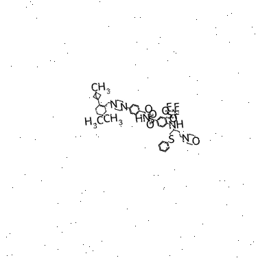 CC1(C)CCC(C23CC(C)(C2)C3)=C(CN2CCN(c3ccc(C(=O)NS(=O)(=O)c4ccc(NC(CCN5CCOCC5)CSc5ccccc5)c(S(=O)(=O)C(F)(F)F)c4)cc3)CC2)C1